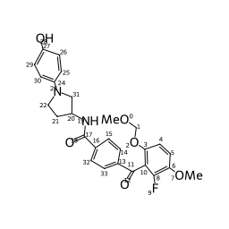 COCOc1ccc(OC)c(F)c1C(=O)c1ccc(C(=O)NC2CCN(c3ccc(O)cc3)C2)cc1